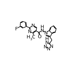 Cc1nc(-c2cccc(F)c2)ncc1C(=O)Nn1cc(Cc2nnn[nH]2)c2ccccc21